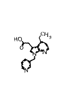 CCc1ccnc2c1c(CC(=O)O)cn2Cc1cccnc1